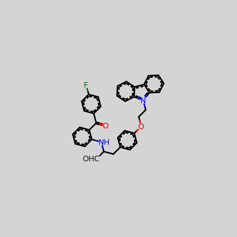 O=CC(Cc1ccc(OCCn2c3ccccc3c3ccccc32)cc1)Nc1ccccc1C(=O)c1ccc(F)cc1